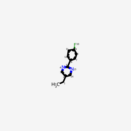 CCc1cnc(-c2ccc(F)cc2)nc1